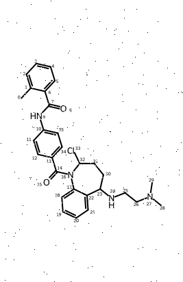 Cc1ccccc1C(=O)Nc1ccc(C(=O)N2c3ccccc3C(NCCN(C)C)CCC2Cl)cc1